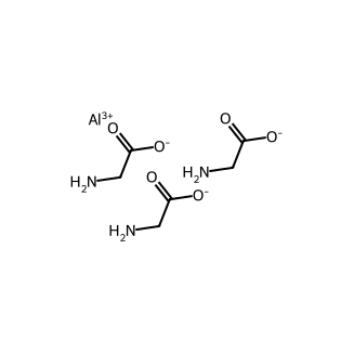 NCC(=O)[O-].NCC(=O)[O-].NCC(=O)[O-].[Al+3]